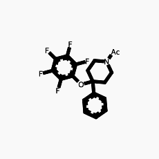 CC(=O)N1CCC(Oc2c(F)c(F)c(F)c(F)c2F)(c2ccccc2)CC1